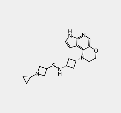 c1cc2c3c(cnc2[nH]1)OCCN3[C@H]1C[C@@H](NSC2CN(C3CC3)C2)C1